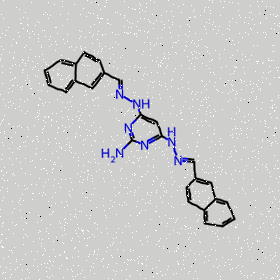 Nc1nc(NN=Cc2ccc3ccccc3c2)cc(NN=Cc2ccc3ccccc3c2)n1